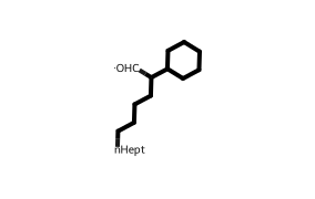 CCCCCCCCCCCC([C]=O)C1CCCCC1